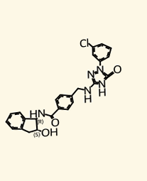 O=C(N[C@@H]1c2ccccc2C[C@@H]1O)c1ccc(CNc2nn(-c3cccc(Cl)c3)c(=O)[nH]2)cc1